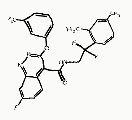 Cc1ccc(C(F)(F)CNC(=O)c2c(Oc3cccc(C(F)(F)F)c3)nnc3cc(F)ccc23)c(C)c1